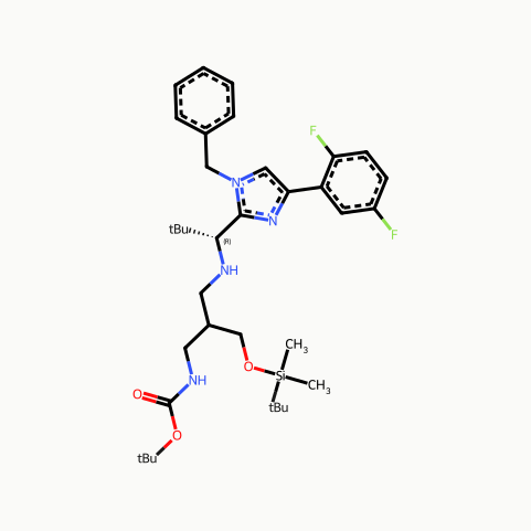 CC(C)(C)OC(=O)NCC(CN[C@@H](c1nc(-c2cc(F)ccc2F)cn1Cc1ccccc1)C(C)(C)C)CO[Si](C)(C)C(C)(C)C